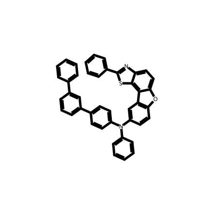 c1ccc(-c2cccc(-c3ccc(N(c4ccccc4)c4ccc5oc6ccc7nc(-c8ccccc8)sc7c6c5c4)cc3)c2)cc1